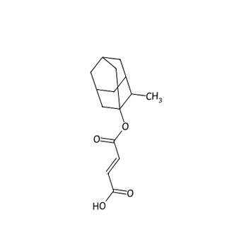 CC1C2CC3CC(C2)CC1(OC(=O)C=CC(=O)O)C3